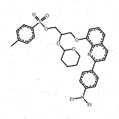 CCN(CC)c1ccc(-c2ccc3cccc(OCC(COS(=O)(=O)c4ccc(C)cc4)OC4CCCCO4)c3n2)cc1